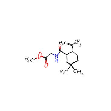 C=C(C)C1CCC(C)(C)CC1C(=O)NCC(=O)OC